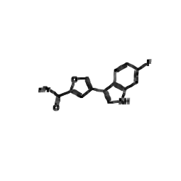 CCCC(=O)c1cc(-c2c[nH]c3cc(F)ccc23)co1